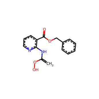 C=C(Nc1ncccc1C(=O)OCc1ccccc1)OO